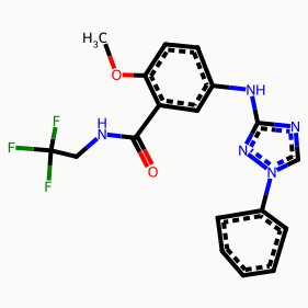 COc1ccc(Nc2ncn(-c3ccccc3)n2)cc1C(=O)NCC(F)(F)F